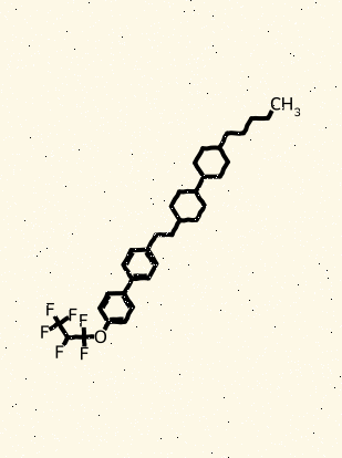 CCCCCC1CCC(C2CCC(CCc3ccc(-c4ccc(OC(F)(F)C(F)C(F)(F)F)cc4)cc3)CC2)CC1